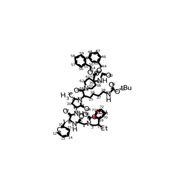 CCC(CN(CC(=O)N[C@H](Cc1ccccc1)C(=O)N[C@@H]1CC(C)N(C(CCCCNC(=O)OC(C)(C)C)C(=O)N2CCC(NC(=O)OCc3ccccc3)(C(=O)OCc3ccccc3)CC2)C1=O)C(=O)OC(C)(C)C)c1ccccc1